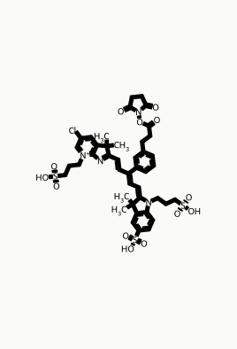 CC1(C)C(/C=C/C(=C/C=C2/N(CCCS(=O)(=O)O)c3ccc(S(=O)(=O)O)cc3C2(C)C)c2cccc(CCC(=O)ON3C(=O)CCC3=O)c2)=Nc2c1cc(Cl)c[n+]2CCCS(=O)(=O)O